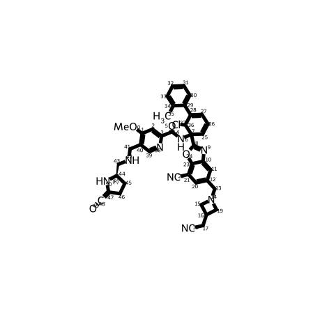 COc1cc(C(=O)NC2(c3nc4cc(CN5CC(CC#N)C5)cc(C#N)c4o3)C=CC=C(c3ccccc3C)C2Cl)ncc1CNC[C@H]1CCC(=C=O)N1